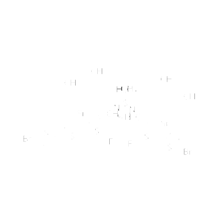 CCCCC(CC)C[Si]1(CC(CC)CCCC)c2cc(Br)sc2-c2sc(-c3c(F)c(F)c(-c4cc5c(s4)-c4sc(-c6ccc(Br)s6)cc4[Si]5(CC(CC)CCCC)CC(CC)CCCC)c4nsnc34)cc21